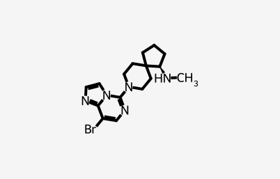 CN[C@@H]1CCCC12CCN(c1ncc(Br)c3nccn13)CC2